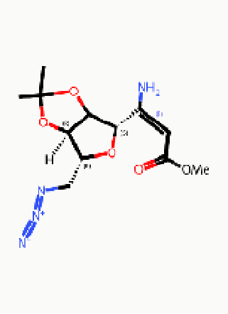 COC(=O)/C=C(/N)[C@@H]1O[C@H](CN=[N+]=[N-])[C@H]2OC(C)(C)OC12